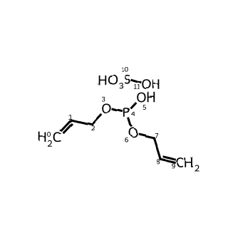 C=CCOP(O)OCC=C.O=S(=O)(O)O